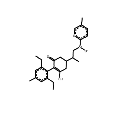 CCc1cc(C)cc(CC)c1C1=C(O)CC(C(C)C[S+]([O-])c2ccc(C)cn2)CC1=O